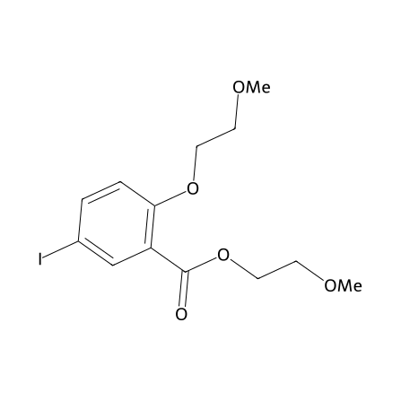 COCCOC(=O)c1cc(I)ccc1OCCOC